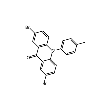 Cc1ccc(-[s+]2c3ccc(Br)cc3c(=O)c3cc(Br)ccc32)cc1